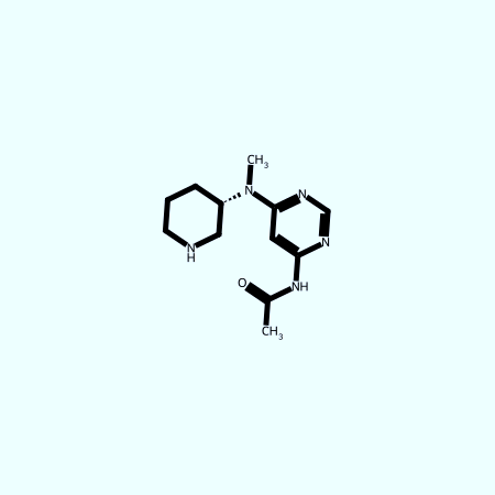 CC(=O)Nc1cc(N(C)[C@H]2CCCNC2)ncn1